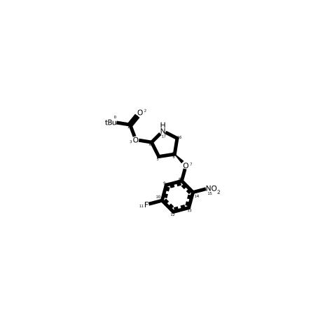 CC(C)(C)C(=O)OC1C[C@H](Oc2cc(F)ccc2[N+](=O)[O-])CN1